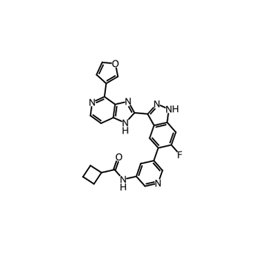 O=C(Nc1cncc(-c2cc3c(-c4nc5c(-c6ccoc6)nccc5[nH]4)n[nH]c3cc2F)c1)C1CCC1